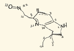 CCC1(C)CNc2ccc(CN=O)nc21